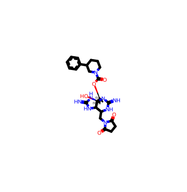 N=C1NC2C(CN3C(=O)CCC3=O)NC(=N)N3C[C@H](OC(=O)N4CCCC(c5ccccc5)C4)[C@@H](O)[C@]23N1